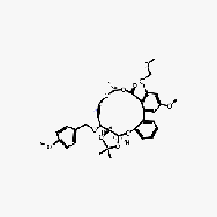 COCOc1cc(OC)cc2c1C(=O)O[C@@H](C)C/C=C\C(OCc1ccc(OC)cc1)[C@H]1OC(C)(C)O[C@@H]1Cc1ccccc1-2